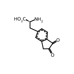 N[C@@H](Cc1ccc2c(c1)CC(=O)C2=O)C(=O)O